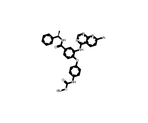 CC(C)c1ccc2c(Nc3cc(C(=O)N[C@H](C)c4ccccc4)ccc3Oc3ccc(NC(=O)OC(C)(C)C)cc3)ncnc2n1